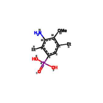 CCc1cc(P(=O)(O)O)c(CC)c(N)c1OC